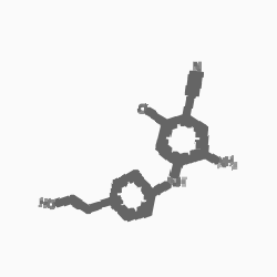 N#Cc1cc(N)c(Nc2ccc(CCO)cc2)cc1Cl